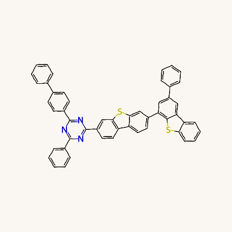 c1ccc(-c2ccc(-c3nc(-c4ccccc4)nc(-c4ccc5c(c4)sc4cc(-c6cc(-c7ccccc7)cc7c6sc6ccccc67)ccc45)n3)cc2)cc1